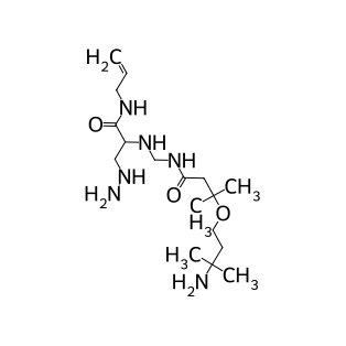 C=CCNC(=O)C(CNN)NCNC(=O)CC(C)(C)OCCC(C)(C)N